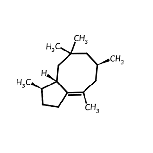 C/C1=C2\CC[C@@H](C)[C@@H]2CC(C)(C)C[C@@H](C)C1